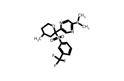 CC1CCOC(c2cnc(N(C)C)cn2)(S(=O)(=O)c2cccc(C(F)(F)F)c2)C1